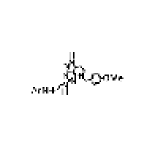 COc1ccc(CN2CCC3NN(C)c4nc(NCCNC(C)=O)nc2c43)cc1